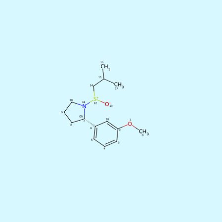 COc1cccc([C@@H]2CCCN2[S+]([O-])CC(C)C)c1